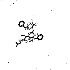 CC[C@H](C[C@H](O)[C@H](Cc1ccccc1)NC(=O)C[C@H](NC(=O)Cc1ccccc1)C(=O)O)C(=O)NCC(C)C